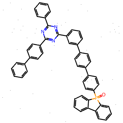 O=P1(c2ccc(-c3ccc(-c4cccc(-c5nc(-c6ccccc6)nc(-c6ccc(-c7ccccc7)cc6)n5)c4)cc3)cc2)c2ccccc2-c2ccccc21